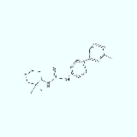 Cc1cc(-c2ccc(NC(=O)NC3CCOCC3(C)C)cc2)ccn1